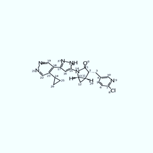 O=C1[C@H](Cc2ccc(Cl)nc2)[C@@H]2C[C@@H]2N1c1cc(-c2cnncc2C2CC2)n[nH]1